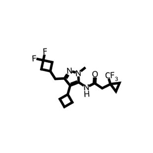 Cn1nc(CC2CC(F)(F)C2)c(C2CCC2)c1NC(=O)CC1(C(F)(F)F)CC1